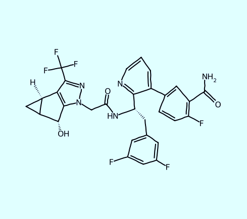 NC(=O)c1cc(-c2cccnc2[C@H](Cc2cc(F)cc(F)c2)NC(=O)Cn2nc(C(F)(F)F)c3c2[C@H](O)C2C[C@@H]32)ccc1F